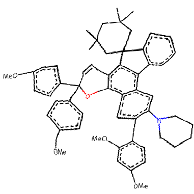 COc1ccc(C2(c3ccc(OC)cc3)C=Cc3c4c(c5cc(N6CCCCC6)c(-c6ccc(OC)cc6OC)cc5c3O2)-c2ccccc2C42CC(C)(C)CC(C)(C)C2)cc1